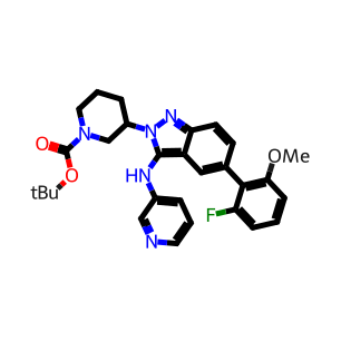 COc1cccc(F)c1-c1ccc2nn(C3CCCN(C(=O)OC(C)(C)C)C3)c(Nc3cccnc3)c2c1